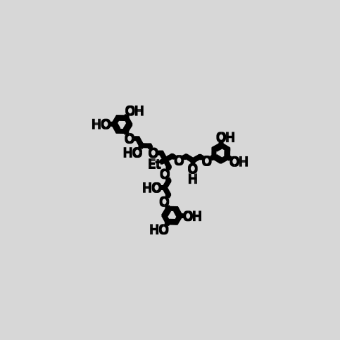 CCC(COCC(O)COc1cc(O)cc(O)c1)(COCC(O)COc1cc(O)cc(O)c1)COCC(O)COc1cc(O)cc(O)c1